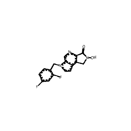 O=C1c2ncc3c(ccn3Cc3ccc(F)cc3F)c2CN1O